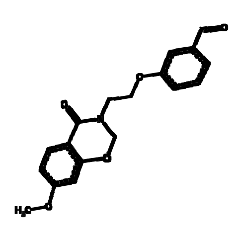 COc1ccc2c(c1)OCN(CCOc1cccc(C=O)c1)C2=O